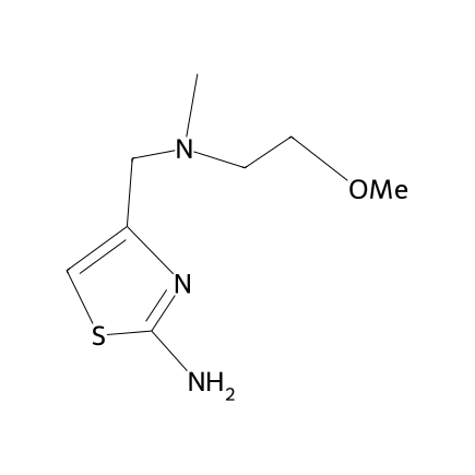 COCCN(C)Cc1csc(N)n1